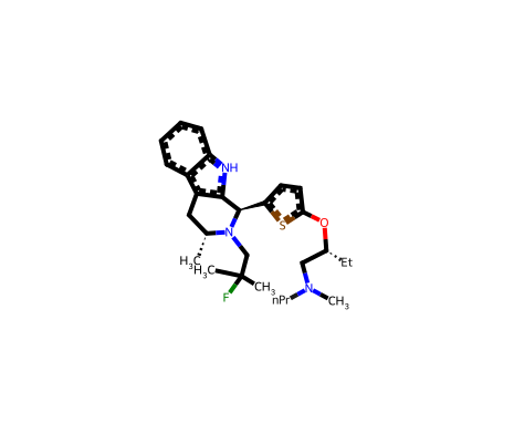 CCCN(C)C[C@@H](CC)Oc1ccc([C@@H]2c3[nH]c4ccccc4c3C[C@@H](C)N2CC(C)(C)F)s1